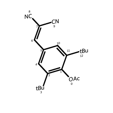 CC(=O)Oc1c(C(C)(C)C)cc(C=C(C#N)C#N)cc1C(C)(C)C